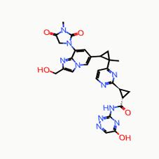 CN1C(=O)CN(c2cc(C3CC3(C)c3ccnc([C@H]4C[C@@H]4C(=O)Nc4nncc(O)n4)n3)cn3cc(CO)nc23)C1=O